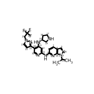 CC(C)n1ncc2ccc(Nc3cc(N[C@H]4CCNC4)c(-c4ccn(CC(F)(F)F)n4)cn3)nc21